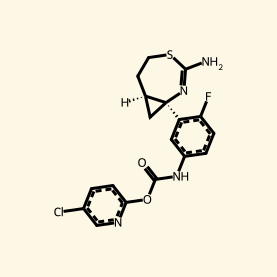 NC1=N[C@@]2(c3cc(NC(=O)Oc4ccc(Cl)cn4)ccc3F)C[C@H]2CCS1